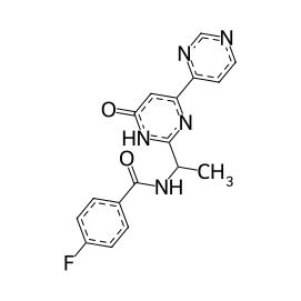 CC(NC(=O)c1ccc(F)cc1)c1nc(-c2ccncn2)cc(=O)[nH]1